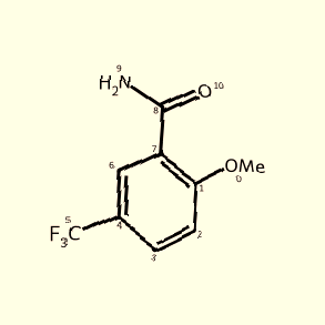 COc1ccc(C(F)(F)F)cc1C(N)=O